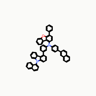 c1ccc(-c2ccc(N(c3ccc(-c4ccc5ccccc5c4)cc3)c3cccc(-c4cccc5c4c4ccccc4n5-c4cccc5ccccc45)c3)c3c2oc2ccccc23)cc1